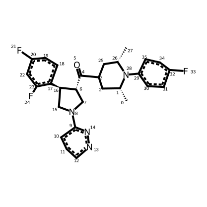 C[C@@H]1CC(C(=O)[C@@H]2CN(c3cccnn3)C[C@H]2c2ccc(F)cc2F)C[C@H](C)N1c1ccc(F)cc1